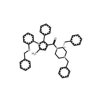 Cc1cc(C(=O)N2CCN(Cc3ccccc3)C[C@H]2Cc2ccccc2)c(-c2ccccc2)n1-c1ccccc1OCc1ccccc1